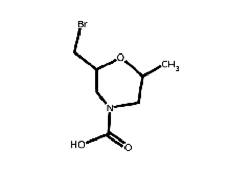 CC1CN(C(=O)O)CC(CBr)O1